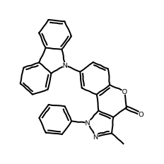 Cc1nn(-c2ccccc2)c2c1c(=O)oc1ccc(-n3c4ccccc4c4ccccc43)cc12